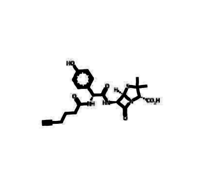 C#CCCCC(=O)N[C@@H](C(=O)N[C@@H]1C(=O)N2[C@@H]1SC(C)(C)[C@@H]2C(=O)O)c1ccc(O)cc1